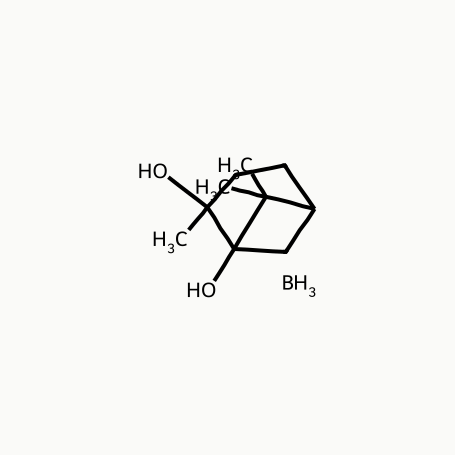 B.CC1(O)CCC2CC1(O)C2(C)C